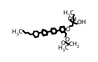 C=C(C)C(=O)OCCc1cc(-c2ccc(-c3ccc(C4CCC(CCCCC)CC4)cc3)cc2)ccc1OCCC(CO)(CO)CCCC